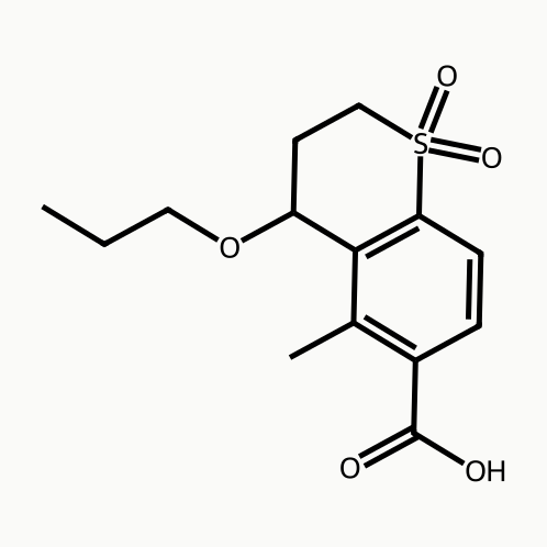 CCCOC1CCS(=O)(=O)c2ccc(C(=O)O)c(C)c21